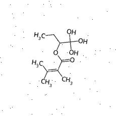 CCC(OC(=O)C(C)=C(C)C)C(O)(O)O